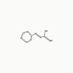 N=C(S)N=Nc1ccccc1